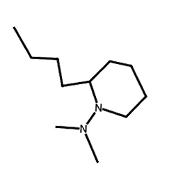 CCCCC1CCCCN1N(C)C